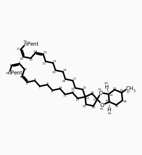 CCCCC/C=C\C/C=C\CCCCCCCCC1(CCCCCCCC/C=C\C/C=C\CCCCC)CCC2(C1)O[C@H]1CC(C)CC[C@H]1O2